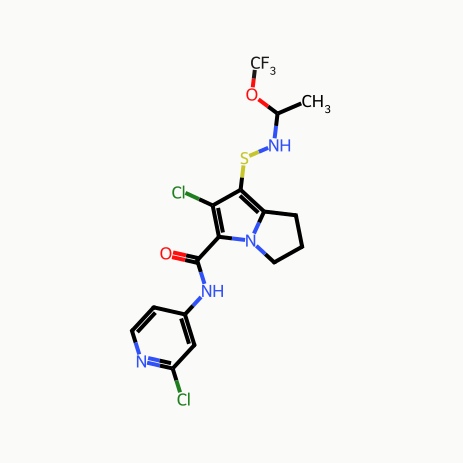 CC(NSc1c(Cl)c(C(=O)Nc2ccnc(Cl)c2)n2c1CCC2)OC(F)(F)F